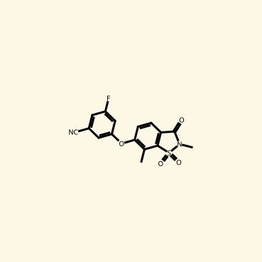 Cc1c(Oc2cc(F)cc(C#N)c2)ccc2c1S(=O)(=O)N(C)C2=O